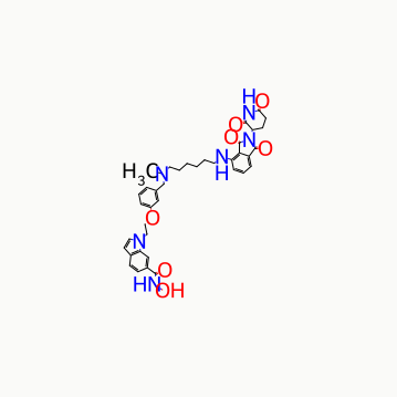 CN(CCCCCCNc1cccc2c1C(=O)N(C1CCC(=O)NC1=O)C2=O)Cc1cccc(OCCn2ccc3ccc(C(=O)NO)cc32)c1